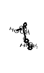 Nc1ccccc1NC(=O)c1ccc(OCCNC(=O)c2oc3ccccc3c2OCCO)cc1